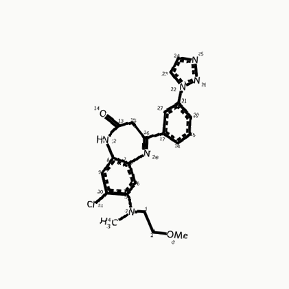 COCCN(C)c1cc2c(cc1Cl)NC(=O)CC(c1cccc(-n3ccnn3)c1)=N2